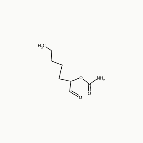 CCCCCC(C=O)OC(N)=O